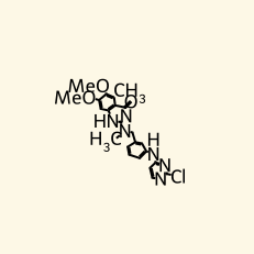 COc1cc2[nH]c(N(C)Cc3cccc(Nc4ccnc(Cl)n4)c3)nc(=O)c2c(C)c1OC